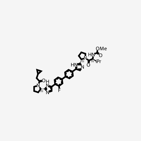 COC(=O)N[C@H](C(=O)N1CCC[C@H]1c1ncc(-c2ccc(-c3ccc(-c4cnc([C@@H]5CCCN5C(=O)CC5CC5)[nH]4)c(F)c3)cc2)[nH]1)C(C)C